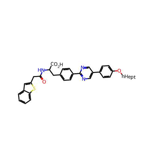 CCCCCCCOc1ccc(-c2cnc(-c3ccc(CC(NC(=O)Cc4cc5ccccc5s4)C(=O)O)cc3)nc2)cc1